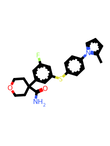 Cc1cccn1-c1ccc(Sc2cc(F)cc(C3(C(N)=O)CCOCC3)c2)cc1